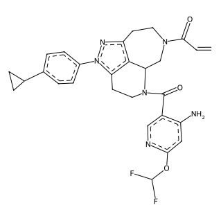 C=CC(=O)N1CCc2nn(-c3ccc(C4CC4)cc3)c3c2C(C1)N(C(=O)c1cnc(OC(F)F)cc1N)CC3